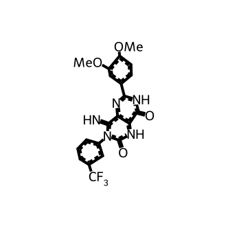 COc1ccc(-c2nc3c(=N)n(-c4cccc(C(F)(F)F)c4)c(=O)[nH]c3c(=O)[nH]2)cc1OC